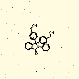 N#CCc1ccc(C2(c3ccc(CC#N)cc3)c3ccccc3C(=O)N2c2ccccc2)cc1